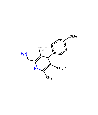 CCOC(=O)C1=C(C)NC(CN)=C(C(=O)OCC)C1c1ccc(OC)cc1